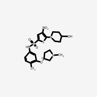 CN1CC[C@@H](Oc2cc(NS(=O)(=O)c3cc([N+](=O)[O-])c(N4CCC(O)CC4)s3)ccc2C(F)(F)F)C1